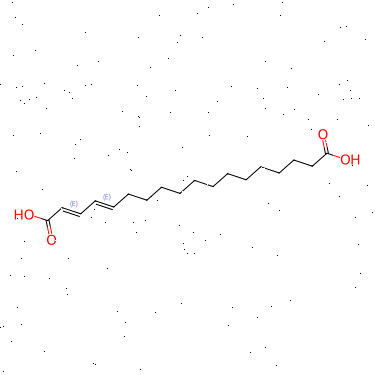 O=C(O)/C=C/C=C/CCCCCCCCCCCCC(=O)O